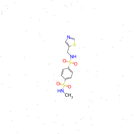 CNS(=O)(=O)c1ccc(S(=O)(=O)NCc2cncs2)cc1